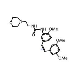 COc1cc(/C=C\c2ccc(OC)c(NC(=O)NCCN3CCOCC3)c2)cc(OC)c1